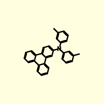 Cc1cccc(N(c2cccc(C)c2)c2ccc3c4ccccc4c4ccccc4c3c2)c1